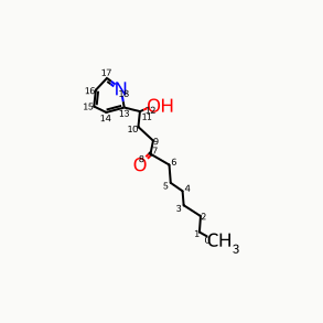 CCCCCCCC(=O)CCC(O)c1ccccn1